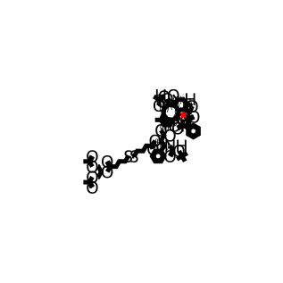 CC(=O)OCC(COC(C)=O)OC(=O)CCCSSCCCC(=O)O[C@@H](C(=O)O[C@H]1C[C@@]2(O)[C@@H](OC(=O)c3ccccc3)[C@@H]3[C@]4(OC(C)=O)CO[C@@H]4C[C@H](O)[C@@]3(C)C(=O)[C@H](OC(C)=O)C(=C1C)C2(C)C)[C@@H](NC(=O)OC(C)(C)C)c1ccccc1